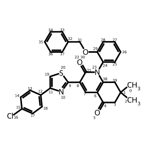 CC1(C)CC(=O)c2cc(-c3nc(-c4ccc(Cl)cc4)cs3)c(=O)n(-c3ccccc3OCc3ccccc3)c2C1